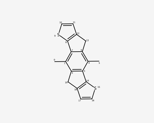 Cc1c2c(c(C)c3c1-c1sccc1C3)-c1sccc1C2